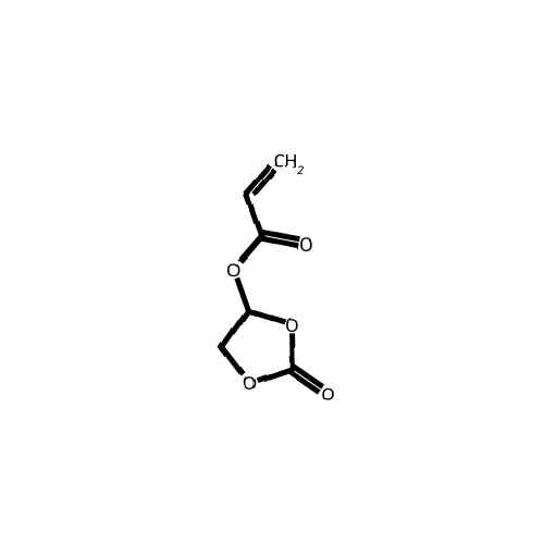 C=CC(=O)OC1COC(=O)O1